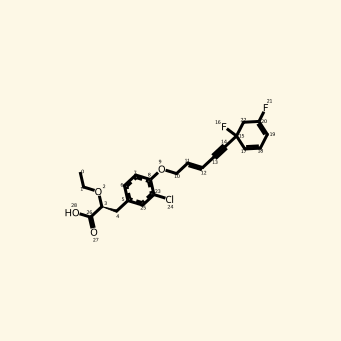 CCO[C@@H](Cc1ccc(OC/C=C/C#CC2(F)C=CC=C(F)C2)c(Cl)c1)C(=O)O